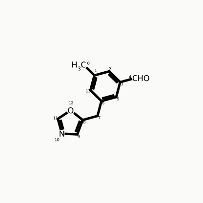 Cc1cc(C=O)cc(Cc2cnco2)c1